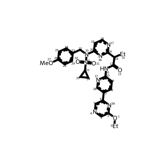 CCOc1cncc(-c2ccc(NC(=O)C(CC)c3nccc(N(Cc4ccc(OC)cc4)S(=O)(=O)C4CC4)n3)nc2)n1